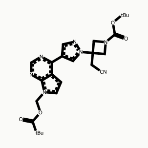 CC(C)(C)OC(=O)N1CC(CC#N)(n2cc(-c3ncnc4c3ccn4COC(=O)C(C)(C)C)cn2)C1